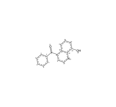 O=C(c1ccccc1)c1ccnc2c(O)cccc12